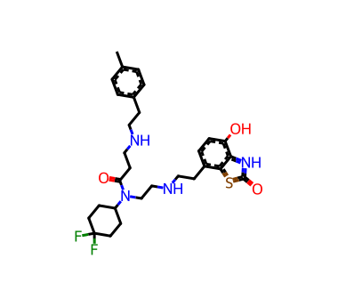 Cc1ccc(CCNCCC(=O)N(CCNCCc2ccc(O)c3[nH]c(=O)sc23)C2CCC(F)(F)CC2)cc1